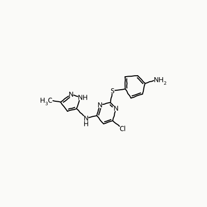 Cc1cc(Nc2cc(Cl)nc(Sc3ccc(N)cc3)n2)[nH]n1